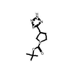 CC(C)(C)OC(=O)N1CCC(c2nn[nH]n2)C1